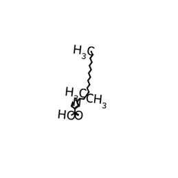 CCCCCCCCCCCCC(C)(C)CCn1ccc(C(=O)O)c1